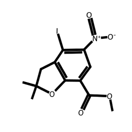 COC(=O)c1cc([N+](=O)[O-])c(I)c2c1OC(C)(C)C2